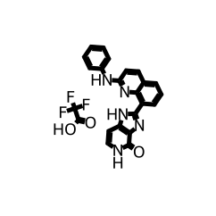 O=C(O)C(F)(F)F.O=c1[nH]ccc2[nH]c(-c3cccc4ccc(Nc5ccccc5)nc34)nc12